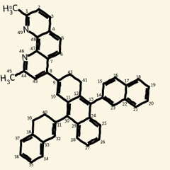 Cc1ccc2ccc3c(C4=Cc5c(c(-c6ccc7ccccc7c6)c6ccccc6c5C5=Cc6ccccc6CC5)CC4)cc(C)nc3c2n1